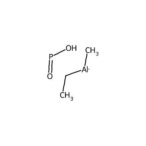 C[CH2][Al][CH3].O=PO